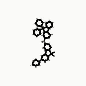 CC1(C)c2ccc(Nc3ccc4c(c3)C(c3ccccc3)(c3ccccc3)c3ccccc3-4)cc2-c2cc(-c3ccccc3)ccc21